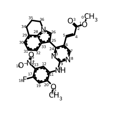 COC(=O)C=Cc1cnc(Nc2cc([N+](=O)[O-])c(F)cc2OC)nc1-c1cn2c3c(cccc13)CCC2